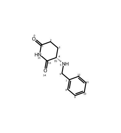 O=C1CC[C@H](NCc2ccccc2)C(=O)N1